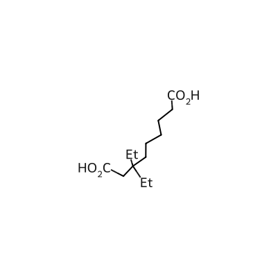 CCC(CC)(CCCCCC(=O)O)CC(=O)O